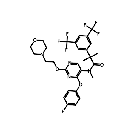 CN(C(=O)C(C)(C)c1cc(C(F)(F)F)cc(C(F)(F)F)c1)c1cnc(OCCN2CCOCC2)nc1Oc1ccc(F)cc1